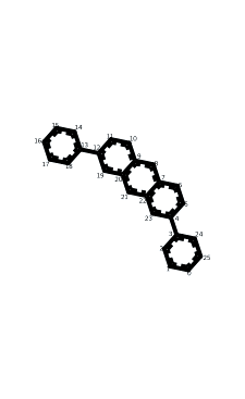 c1ccc(-c2ccc3cc4ccc(-c5ccccc5)cc4cc3c2)cc1